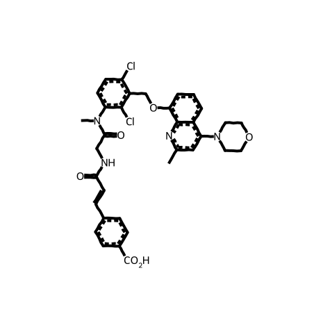 Cc1cc(N2CCOCC2)c2cccc(OCc3c(Cl)ccc(N(C)C(=O)CNC(=O)/C=C/c4ccc(C(=O)O)cc4)c3Cl)c2n1